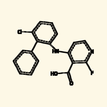 O=C(O)c1c(Nc2cccc(Cl)c2-c2ccccc2)ccnc1F